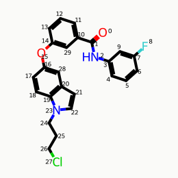 O=C(Nc1cccc(F)c1)c1cccc(Oc2ccc3c(ccn3CCCCl)c2)c1